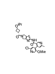 COc1cnc(Cl)cc1-c1cc(C)ncc1C(=O)Nc1nc2c(s1)CN(C(=O)[C@H]1C[C@H](OC(C)C)C1)C2